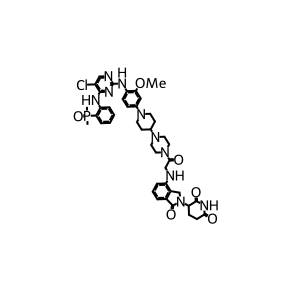 COc1cc(N2CCC(N3CCN(C(=O)CNc4cccc5c4CN(C4CCC(=O)NC4=O)C5=O)CC3)CC2)ccc1Nc1ncc(Cl)c(Nc2ccccc2P(C)(C)=O)n1